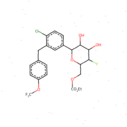 CCOC(=O)OCC1OC(c2ccc(Cl)c(Cc3ccc(OC(F)(F)F)cc3)c2)C(O)C(O)C1F